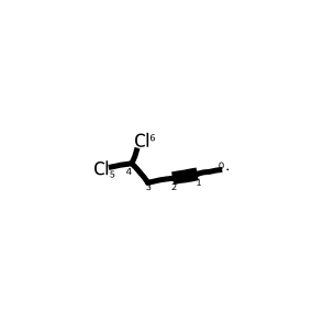 [CH2]C#CCC(Cl)Cl